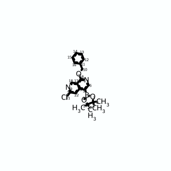 CC1(C)OB(c2cnc(OCc3ccccc3)c3cnc(Cl)cc23)OC1(C)C